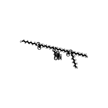 CCCCCCCCCOC(=O)CCCCCCCN(CCCCCCCC(=O)OC(CCCCCCCC)CCCCCCCC)CCCN(O)S(C)(=O)=O